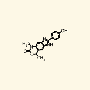 CC1OC(=O)N(C)c2cc3nc(-c4ccc(O)cc4)[nH]c3cc21